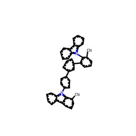 N#Cc1cccc(-c2cccc(-c3ccc(-n4c5ccccc5c5cccc(C#N)c54)cc3)c2)c1-n1c2ccccc2c2ccccc21